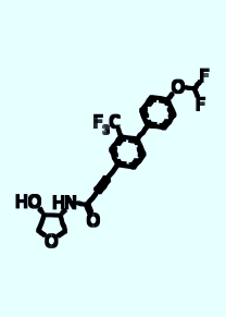 O=C(C#Cc1ccc(-c2ccc(OC(F)F)cc2)c(C(F)(F)F)c1)N[C@H]1COC[C@H]1O